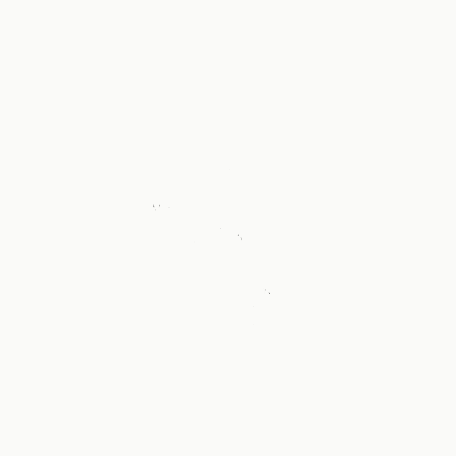 COc1ccc([S+](C)[O-])cc1C(=O)NCC1CCCN1C1CC1